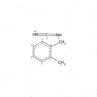 Cc1ccccc1C.N=C=N